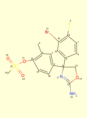 Cc1cc(C2(c3ccc(F)c(Br)c3)COC(N)=N2)ccc1OS(C)(=O)=O